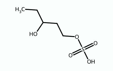 CCC(O)CCOS(=O)(=O)O